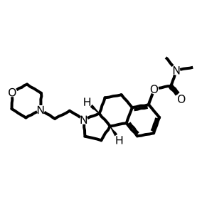 CN(C)C(=O)Oc1cccc2c1CC[C@@H]1[C@H]2CCN1CCN1CCOCC1